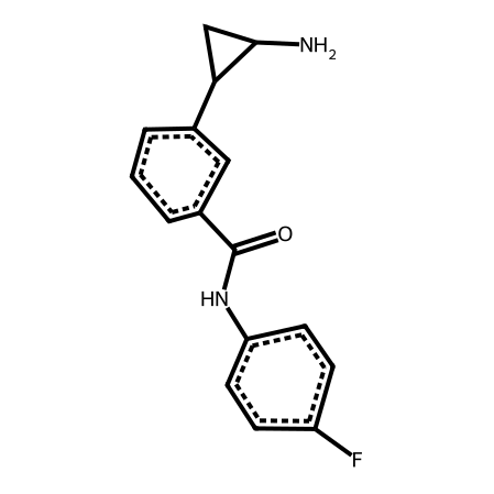 NC1CC1c1cccc(C(=O)Nc2ccc(F)cc2)c1